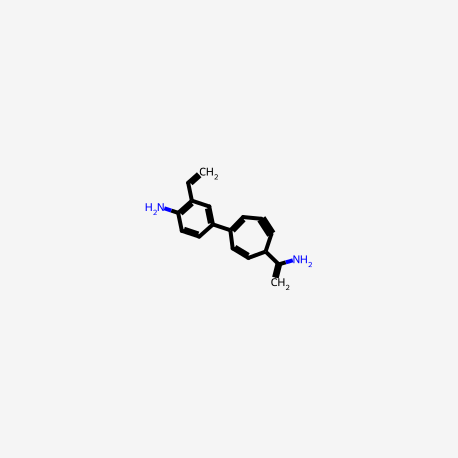 C=Cc1cc(C2=CC#CC(C(=C)N)C=C2)ccc1N